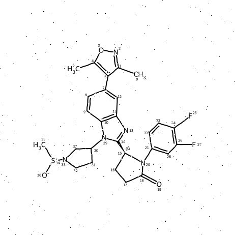 Cc1noc(C)c1-c1ccc2c(c1)nc([C@@H]1CCC(=O)N1c1ccc(F)c(F)c1)n2C1CCN([S+](C)[O-])C1